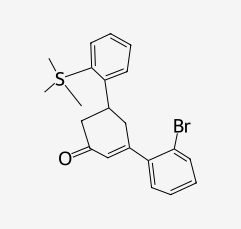 CS(C)(C)c1ccccc1C1CC(=O)C=C(c2ccccc2Br)C1